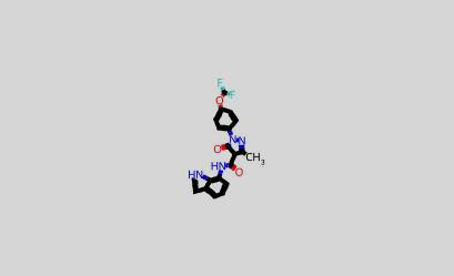 CC1=NN(c2ccc(OC(F)F)cc2)C(=O)C1C(=O)Nc1cccc2cc[nH]c12